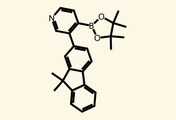 CC1(C)c2ccccc2-c2ccc(-c3cnccc3B3OC(C)(C)C(C)(C)O3)cc21